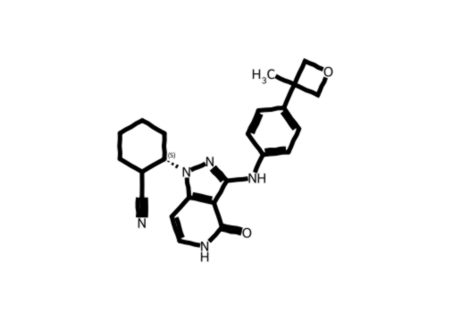 CC1(c2ccc(Nc3nn([C@H]4CCCCC4C#N)c4cc[nH]c(=O)c34)cc2)COC1